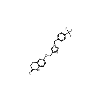 O=C1CCc2cc(OCc3cn(Cc4ccc(C(F)(F)F)cc4)nn3)ccc2N1